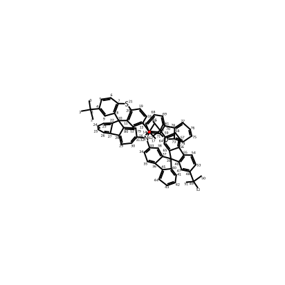 CC(C)(C)c1ccc2c(c1)C1(c3cc(C(C)(C)C)ccc3S2)c2ccccc2-c2ccc(N(c3ccc4c(c3)C3(c5ccccc5-4)c4cc(C(C)(C)C)ccc4-c4ccc(C(C)(C)C)cc43)c3cccc4c3oc3ccccc34)cc21